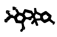 COc1cc([N+](=O)[O-])c(Br)c2c1OC1(C=C2)N(C)c2ccc(F)cc2C1(C)C